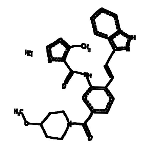 COC1CCN(C(=O)c2ccc(C=Cc3n[nH]c4ccccc34)c(NC(=O)c3sccc3C)c2)CC1.Cl